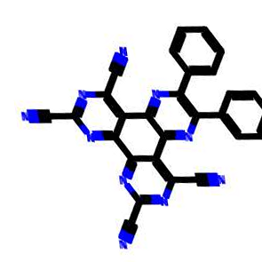 N#Cc1nc(C#N)c2c(n1)c1nc(C#N)nc(C#N)c1c1nc(-c3ccccc3)c(-c3ccccc3)nc12